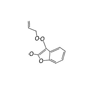 C=CCOOc1c([O])oc2ccccc12